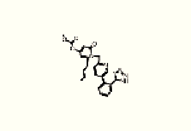 CCCCc1cc(OC(=O)OC)cc(=O)n1Cc1ccc(-c2ccccc2-c2nnn[nH]2)cn1